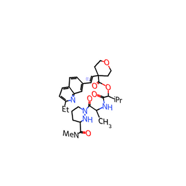 CCc1ccc2ccc(/C=C/C3(C(=O)OC(C(=O)NC(C)C(=O)N4CCCC(C(=O)NC)N4)C(C)C)CCOCC3)cc2n1